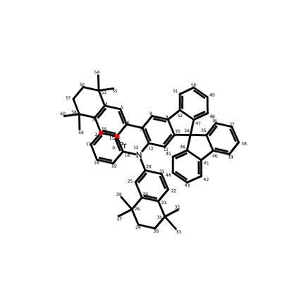 CC(C)c1cc2c(cc1-c1cc3c(cc1N(c1ccccc1)c1ccc4c(c1)C(C)(C)CCC4(C)C)C1(c4ccccc4-c4ccccc41)c1ccccc1-3)C(C)(C)CCC2(C)C